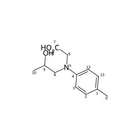 Cc1ccc(N(CC(=O)O)CC(C)O)cc1